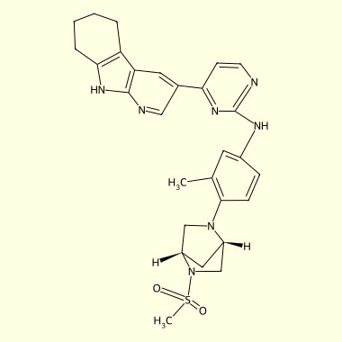 Cc1cc(Nc2nccc(-c3cnc4[nH]c5c(c4c3)CCCC5)n2)ccc1N1C[C@@H]2C[C@H]1CN2S(C)(=O)=O